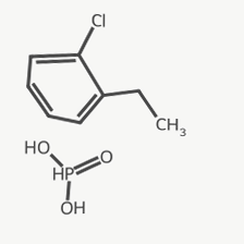 CCc1ccccc1Cl.O=[PH](O)O